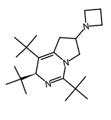 CC(C)(C)C1=N[C@@H](C(C)(C)C)C(C(C)(C)C)=C2CC(N3CCC3)CN12